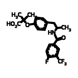 CC(Cc1ccc(OC(C)(C)C(=O)O)cc1)NC(=O)c1ccc(F)c(C(F)(F)F)c1